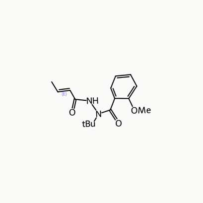 C/C=C/C(=O)NN(C(=O)c1ccccc1OC)C(C)(C)C